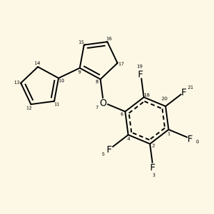 Fc1c(F)c(F)c(OC2=C(C3=CC=CC3)C=CC2)c(F)c1F